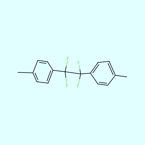 Cc1ccc(C(F)(F)C(F)(F)c2ccc(C)cc2)cc1